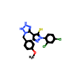 COc1ccc(CN2NNN=C2c2cnn(-c3ccc(Cl)cc3Cl)c2S)cc1